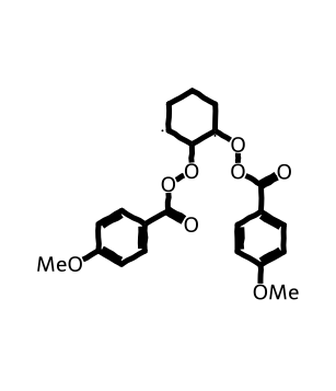 COc1ccc(C(=O)OO[C]2CCC[CH]C2OOC(=O)c2ccc(OC)cc2)cc1